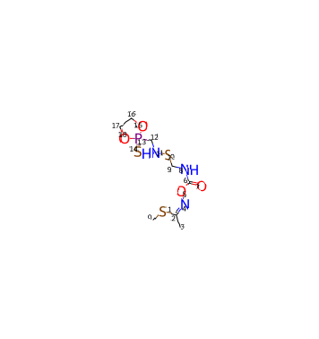 CSC(C)=NOC(=O)NCSNCP1(=S)OCCO1